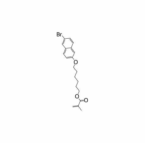 C=C(C)C(=O)OCCCCCCOc1ccc2cc(Br)ccc2c1